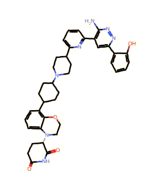 Nc1nnc(-c2ccccc2O)cc1-c1cccc(C2CCN(C3CCC(c4cccc5c4OCCN5[C@H]4CCC(=O)NC4=O)CC3)CC2)n1